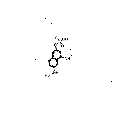 CNc1ccc2cc(OS(=O)(=O)O)cc(O)c2c1